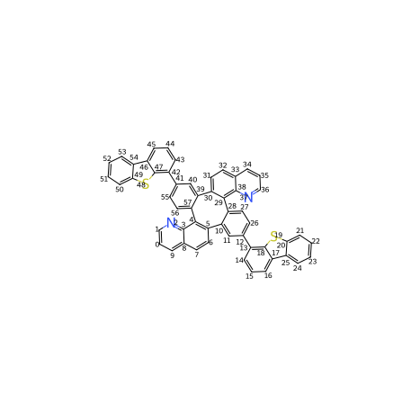 c1cnc2c3c(ccc2c1)-c1cc(-c2cccc4c2sc2ccccc24)ccc1-c1c(ccc2cccnc12)-c1cc(-c2cccc4c2sc2ccccc24)ccc1-3